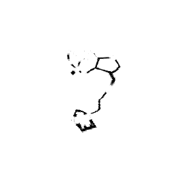 COP(=O)(O)OC1C(OCCn2ccnc2)CO[C@@H]1C